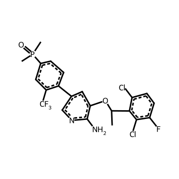 CC(Oc1cc(-c2ccc(P(C)(C)=O)cc2C(F)(F)F)cnc1N)c1c(Cl)ccc(F)c1Cl